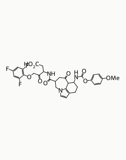 COc1ccc(OC(=O)NC2CCc3ccn4c3C2C(=O)CC(C(=O)NC(CC(=O)O)C(=O)COc2c(F)cc(F)cc2F)C4)cc1